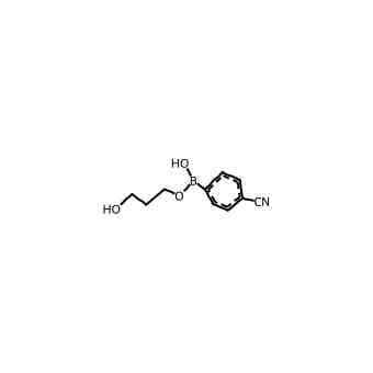 N#Cc1ccc(B(O)OCCCO)cc1